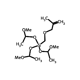 C=C(C)COC[Si](OC(C)OC)(OC(C)OC)OC(C)OC